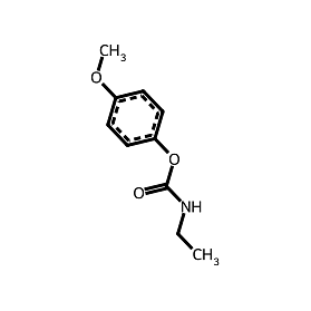 CCNC(=O)Oc1ccc(OC)cc1